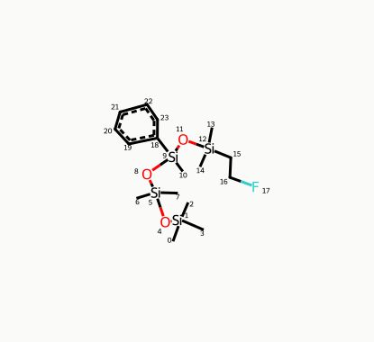 C[Si](C)(C)O[Si](C)(C)O[Si](C)(O[Si](C)(C)CCF)c1ccccc1